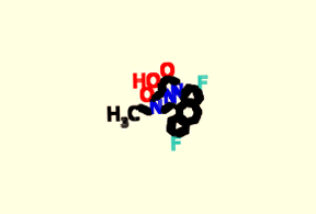 CCCN1C[C@H](C2c3ccc(F)cc3CCc3cc(F)ccc32)n2ncc(=O)c(O)c2C1=O